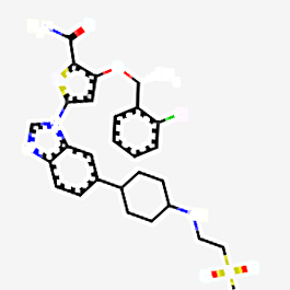 C[C@@H](Oc1cc(-n2cnc3ccc(C4CCC(NCCS(C)(=O)=O)CC4)cc32)sc1C(N)=O)c1ccccc1Cl